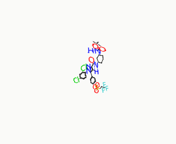 Cc1c(C(=O)N[C@H]2CCC[C@H](NC(=O)OC(C)(C)C)C2)nn(-c2ccc(Cl)cc2Cl)c1-c1ccc(OS(=O)(=O)CCC(F)(F)F)cc1